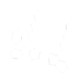 CCCCCCCC[B-](c1ccc(C)cc1)(c1ccc(C)cc1)c1ccc(C)cc1.CCCCCCCC[n+]1cccc2ccccc21